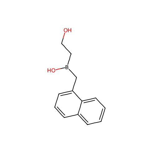 OCCB(O)Cc1cccc2ccccc12